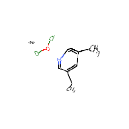 Cc1cncc(C)c1.ClOCl.[Se]